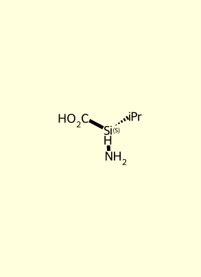 CC(C)[Si@H](N)C(=O)O